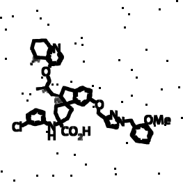 COc1ccccc1Cn1ccc(COc2ccc3c(c2)C2(CCC(Nc4cccc(Cl)c4)(C(=O)O)CC2)[C@@H](C[C@@H](C)COc2ccnc4c2[C@H](C)CCC4)C3)n1